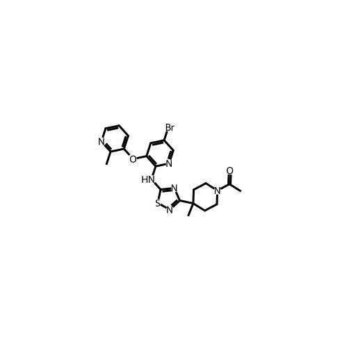 CC(=O)N1CCC(C)(c2nsc(Nc3ncc(Br)cc3Oc3cccnc3C)n2)CC1